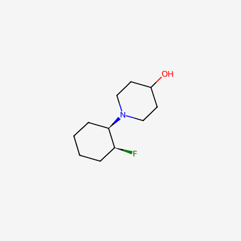 OC1CCN([C@@H]2CCCC[C@@H]2F)CC1